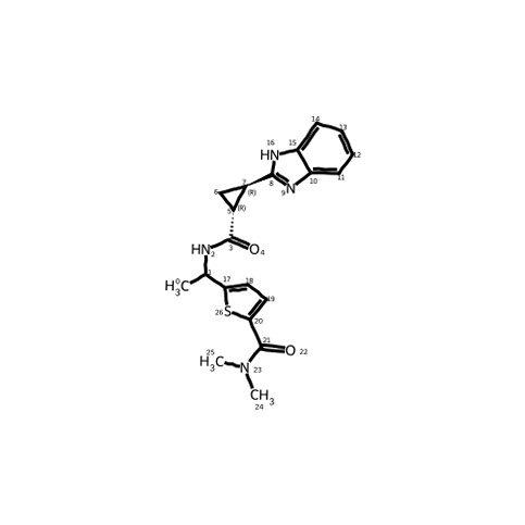 CC(NC(=O)[C@@H]1C[C@H]1c1nc2ccccc2[nH]1)c1ccc(C(=O)N(C)C)s1